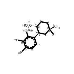 COc1c([C@@H]2C[C@](C)(C(F)(F)F)CC[C@H]2C(=O)O)ccc(F)c1F